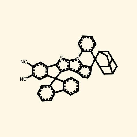 N#Cc1cc2c(cc1C#N)C1(c3ccccc3-c3ccccc31)c1c-2sc2c1c1cccc3c1n2-c1ccccc1C31C2CC3CC(C2)CC1C3